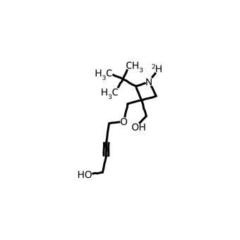 [2H]N1CC(CO)(COCC#CCO)C1C(C)(C)C